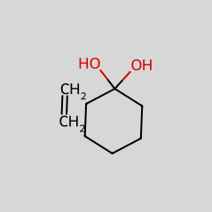 C=C.OC1(O)CCCCC1